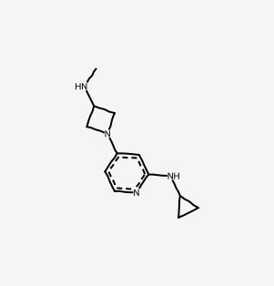 CNC1CN(c2ccnc(NC3CC3)c2)C1